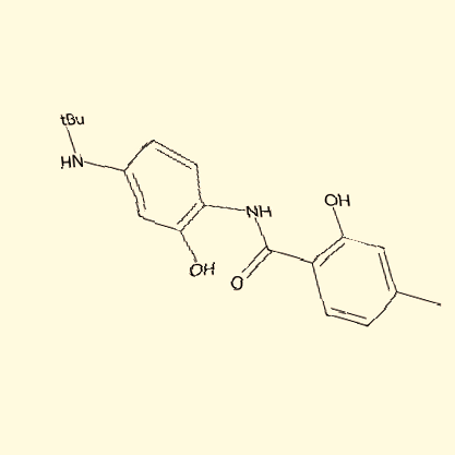 Cc1ccc(C(=O)Nc2ccc(NC(C)(C)C)cc2O)c(O)c1